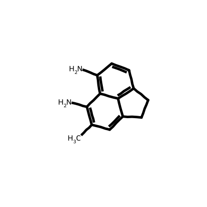 Cc1cc2c3c(ccc(N)c3c1N)CC2